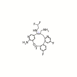 C[C@H]1Oc2cc(cnc2N)/C(NCC(F)F)=C(/CN)Cc2ncc(F)cc2-c2ccc(F)cc21